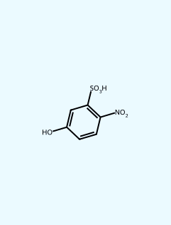 O=[N+]([O-])c1ccc(O)cc1S(=O)(=O)O